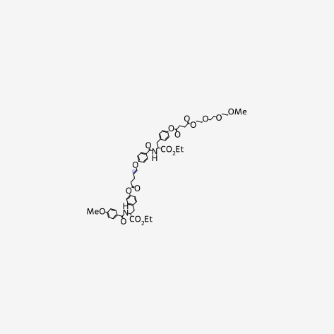 CCOC(=O)C(Cc1ccc(OC(=O)CC/C=C/Oc2ccc(C(=O)NC(Cc3ccc(OC(=O)CCC(=O)OCCOCCOCCOC)cc3)C(=O)OCC)cc2)cc1)NC(=O)c1ccc(OC)cc1